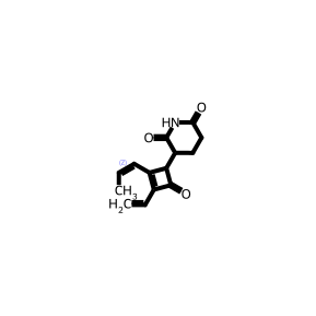 C=CC1=C(/C=C\C)C(C2CCC(=O)NC2=O)C1=O